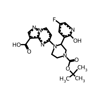 CC(C)(C)OC(=O)N1CCN(c2ccn3ncc(C(=O)O)c3n2)C(c2cc(F)cnc2O)C1